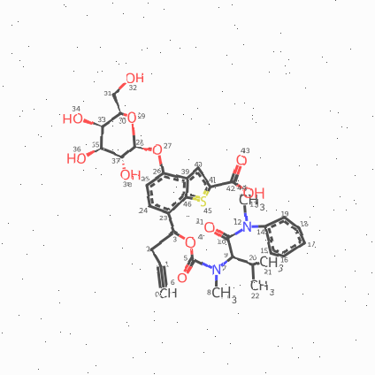 C#CCC(OC(=O)N(C)C(C(=O)N(C)c1ccccc1)C(C)C)c1ccc(O[C@@H]2O[C@H](CO)[C@H](O)[C@H](O)[C@H]2O)c2cc(C(=O)O)sc12